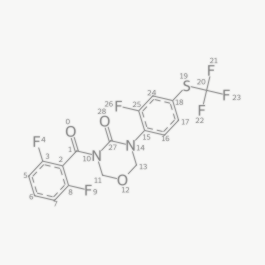 O=C(c1c(F)cccc1F)N1COCN(c2ccc(SC(F)(F)F)cc2F)C1=O